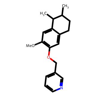 COc1cc2c(cc1OCc1cccnc1)CCC(C)C2C